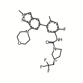 Cc1cc(F)c(NC(=O)N2CC[C@@H](CC(F)(F)F)C2)cc1-c1cc(N2CCOCC2)c2nn(C)cc2c1